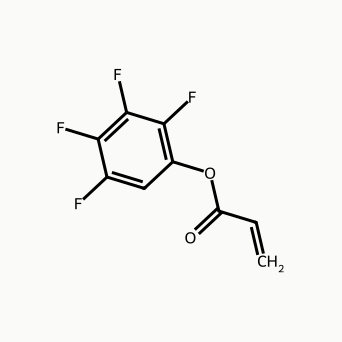 C=CC(=O)Oc1cc(F)c(F)c(F)c1F